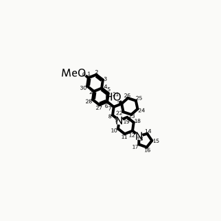 COc1ccc2cc(C(CN3CCC(N4CCCC4)CC3)C3(O)CCCCC3)ccc2c1